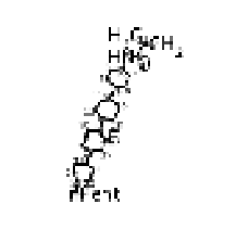 C=C(C)C(=O)NC1CCC(C2CCC(c3ccc(C4CCC(CCCCC)CC4)cc3F)CC2)CC1